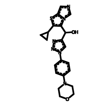 OC(c1cn(-c2ccc(N3CCOCC3)cc2)nn1)c1c(C2CC2)sc2cncn12